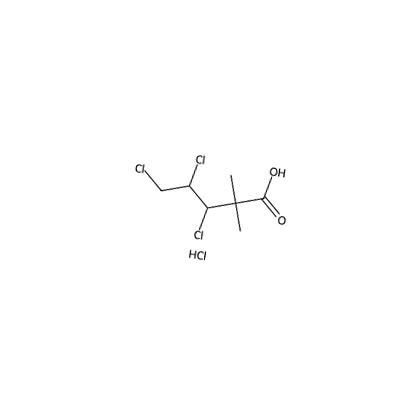 CC(C)(C(=O)O)C(Cl)C(Cl)CCl.Cl